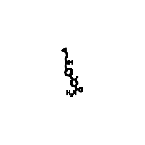 Cc1cc(C(N)=O)ccc1-c1ccc(CNCCC2CC2)cc1